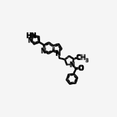 C[C@@H]1CC(Cn2ccc3cc(-c4cn[nH]c4)ncc32)CN1C(=O)c1ccccc1